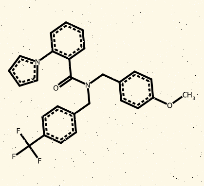 COc1ccc(CN(Cc2ccc(C(F)(F)F)cc2)C(=O)c2ccccc2-n2cccc2)cc1